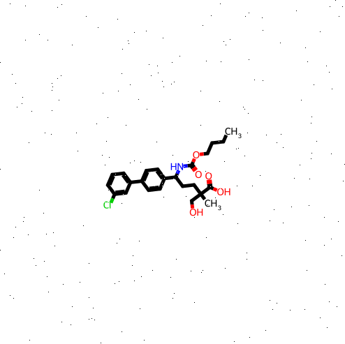 CCCCOC(=O)NC(CCC(C)(CO)C(=O)O)c1ccc(-c2cccc(Cl)c2)cc1